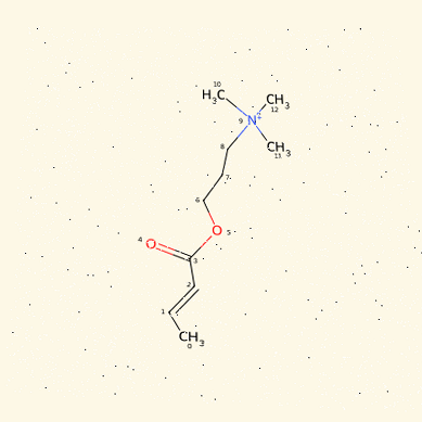 CC=CC(=O)OCCC[N+](C)(C)C